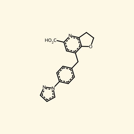 O=C(O)c1cc(Cc2ccc(-n3cccn3)cc2)c2c(n1)CCO2